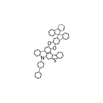 C1=CC2=C(CC1)c1ccccc1C21c2ccccc2-c2cc3c(cc21)Oc1cc(-c2ccccc2N(c2ccc(-c4ccccc4)cc2)c2ccc4c(c2)sc2ccccc24)ccc1O3